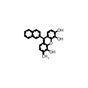 C=c1ccc2c(c1O)Oc1c(ccc(O)c1O)C=2c1ccc2ccccc2c1